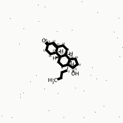 CCCC[C@]12CC[C@H]3[C@@H](CCC4=CC(=O)CC[C@@H]43)[C@@H]1CC[C@@H]2O